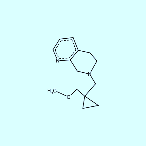 COCC1(CN2CCc3cccnc3C2)CC1